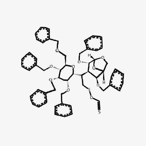 S=COSCC([C@H]1[C@H](OCc2ccccc2)[C@@H]2OC[C@@H](O2)[C@H]1OCc1ccccc1)[C@H]1O[C@H](COCc2ccccc2)[C@@H](OCc2ccccc2)[C@@H](OCc2ccccc2)[C@H]1OCc1ccccc1